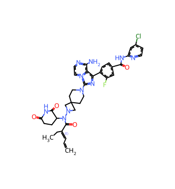 C=C/C=C(\CC)C(=O)N(C1CCC(=O)NC1=O)N1CC2(CCN(c3nc(-c4ccc(C(=O)Nc5cc(Cl)ccn5)cc4F)c4c(N)nccn34)CC2)C1